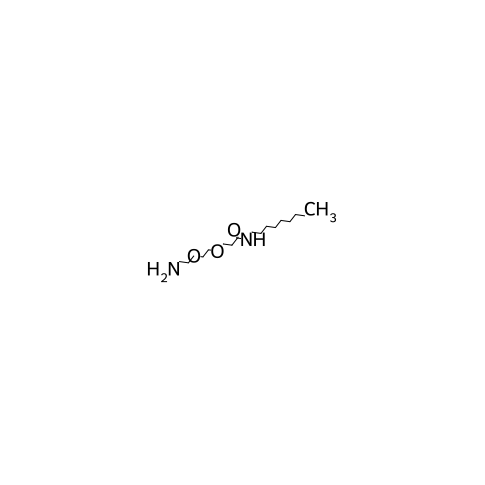 CCCCCCCCCNC(=O)CCOCCOCCN